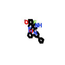 COc1ccc(F)c2c1CNC[C@]21CNC[C@H]1C(=O)N1CC[C@@H](c2ccccc2)C[C@H]1C1CCCCC1